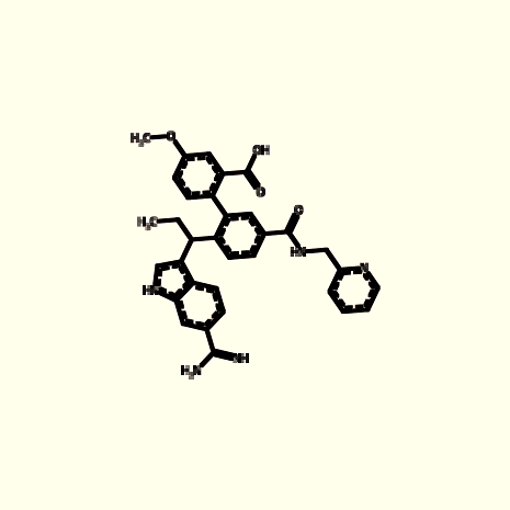 CCC(c1ccc(C(=O)NCc2ccccn2)cc1-c1ccc(OC)cc1C(=O)O)c1c[nH]c2cc(C(=N)N)ccc12